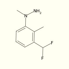 Cc1c(C(F)F)cccc1N(C)N